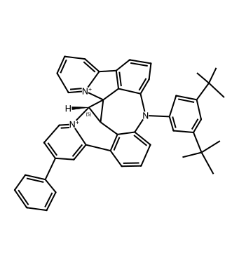 CC(C)(C)c1cc(N2c3cccc4c3C3[C@H]([n+]5ccc(-c6ccccc6)cc5-4)C34c3c(cccc32)-c2cccc[n+]24)cc(C(C)(C)C)c1